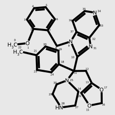 COc1ccccc1Cn1c(C(CC2=COCO2)(c2ccc(C)cc2)N2CCNCC2)nc2cnccc21